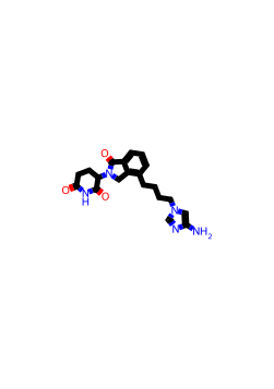 Nc1cn(CCCCc2cccc3c2CN(C2CCC(=O)NC2=O)C3=O)cn1